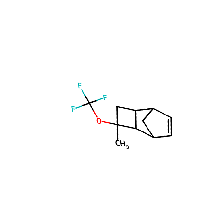 CC1(OC(F)(F)F)CC2C3C=CC(C3)C21